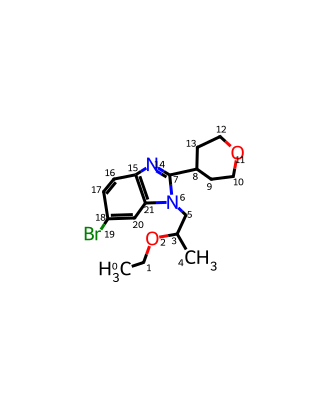 CCOC(C)Cn1c(C2CCOCC2)nc2ccc(Br)cc21